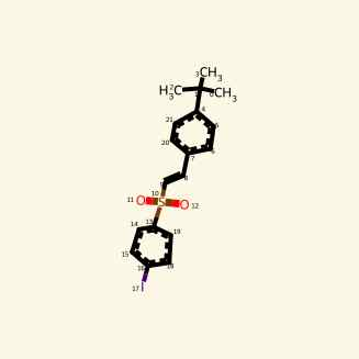 CC(C)(C)c1ccc(C=CS(=O)(=O)c2ccc(I)cc2)cc1